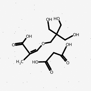 CC(=COCC(CO)(CO)CO)C(=O)O.O=C(O)CC(=O)O